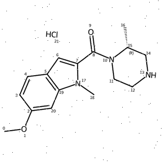 COc1ccc2cc(C(=O)N3CCNC[C@H]3C)n(C)c2c1.Cl